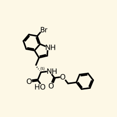 O=C(N[C@@H](Cc1c[nH]c2c(Br)cccc12)C(=O)O)OCc1ccccc1